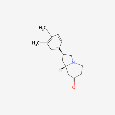 Cc1ccc([C@@H]2C[C@H]3CC(=O)CCN3C2)cc1C